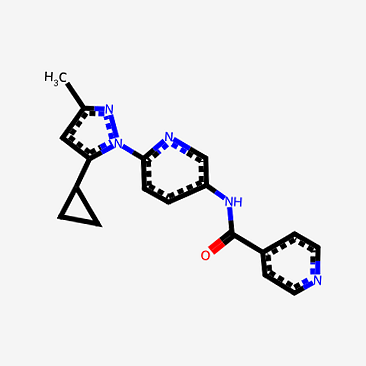 Cc1cc(C2CC2)n(-c2ccc(NC(=O)c3ccncc3)cn2)n1